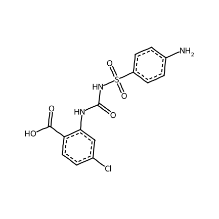 Nc1ccc(S(=O)(=O)NC(=O)Nc2cc(Cl)ccc2C(=O)O)cc1